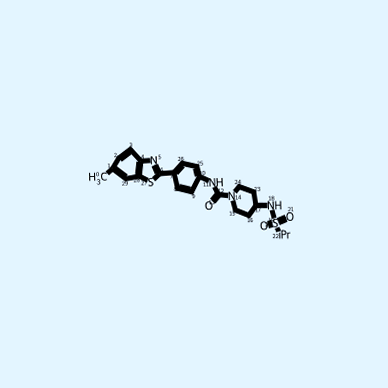 Cc1ccc2nc(-c3ccc(NC(=O)N4CCC(NS(=O)(=O)C(C)C)CC4)cc3)sc2c1